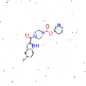 O=C(Oc1cccnc1)N1CCN(C(=O)c2cc3cc(F)ccc3[nH]2)CC1